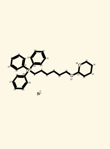 [Br-].c1ccc([P+](CCCCCCOC2CCCCO2)(c2ccccc2)c2ccccc2)cc1